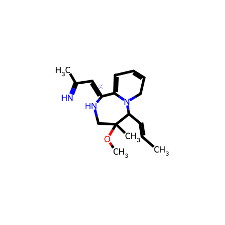 CC=CC1N2CC=CC=C2/C(=C/C(C)=N)NCC1(C)OC